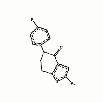 CC(=O)c1cc2n(n1)CCN(c1ccc(F)cc1)C2=O